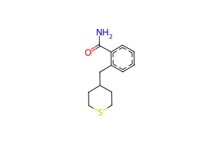 NC(=O)c1ccccc1CC1CCSCC1